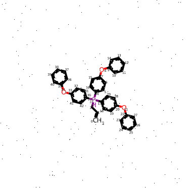 C=CC[PH](c1ccc(Oc2ccccc2)cc1)(c1ccc(Oc2ccccc2)cc1)c1ccc(Oc2ccccc2)cc1